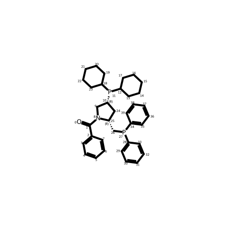 O=C(c1ccccc1)N1C[C@H](P(C2CCCCC2)C2CCCCC2)C[C@@H]1CP(c1ccccc1)c1ccccc1